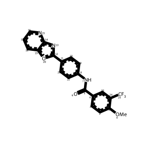 COc1ccc(C(=O)Nc2ccc(-c3nc4ncccc4o3)cc2)cc1C(F)(F)F